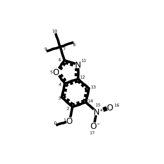 COc1cc2oc(C(C)(C)C)nc2cc1[N+](=O)[O-]